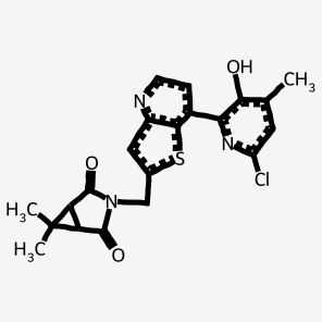 Cc1cc(Cl)nc(-c2ccnc3cc(CN4C(=O)C5C(C4=O)C5(C)C)sc23)c1O